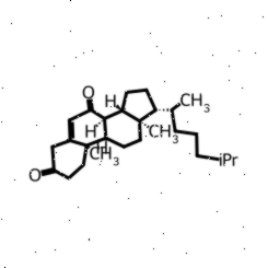 CC(C)CCCC(C)[C@H]1CC[C@H]2[C@@H]3C(=O)C=C4CC(=O)CC[C@]4(C)[C@H]3CC[C@]12C